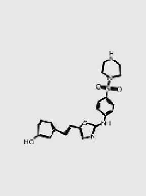 O=S(=O)(c1ccc(Nc2ncc(/C=C/c3cccc(O)c3)s2)cc1)N1CCNCC1